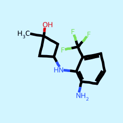 CC1(O)CC(Nc2c(N)cccc2C(F)(F)F)C1